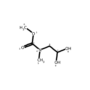 COC(=O)N(C)CC(O)O